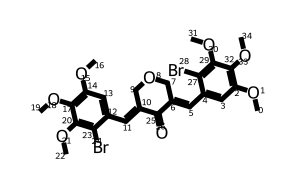 COc1cc(C=C2COCC(=Cc3cc(OC)c(OC)c(OC)c3Br)C2=O)c(Br)c(OC)c1OC